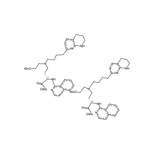 COCCN(CCCCc1ccc2c(n1)NCCC2)CC[C@H](Nc1nccc2ccccc12)C(=O)OC.COCCN(CCCCc1ccc2c(n1)NCCC2)CC[C@H](Nc1nccc2ccccc12)C(=O)OC